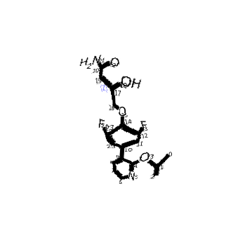 CC(C)Oc1ncccc1-c1cc(F)c(OC/C(O)=C/C(N)=O)c(F)c1